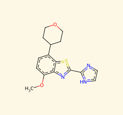 COc1ccc(C2CCOCC2)c2sc(-c3ncc[nH]3)nc12